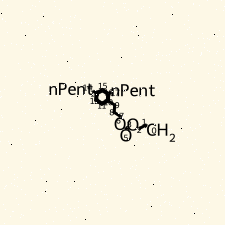 C=CCOC(=O)OCCCc1ccc(CCCCC)cc1CCCCC